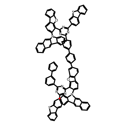 c1ccc(-c2cccc(-c3nc(-c4ccc5c(c4)sc4ccccc45)nc(-c4c(-n5c6ccccc6c6cc7ccccc7cc65)ccc5c4oc4cc(-c6ccc(-c7ccc(-c8nc(-c9ccc%10c(c9)sc9ccccc9%10)nc(-c9c(-n%10c%11ccccc%11c%11cc%12ccccc%12cc%11%10)ccc%10c9oc9ccccc9%10)n8)cc7)cc6)ccc45)n3)c2)cc1